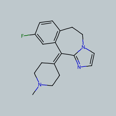 CN1CCC(=C2c3cc(F)ccc3CCn3ccnc32)CC1